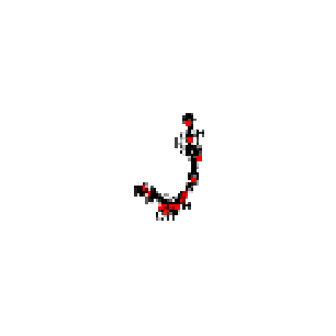 Cc1ncsc1-c1ccc(CNC(=O)[C@@H]2C[C@@H](O)CN2C(=O)[C@@H](NC(=O)COCCOCCN2CCC(C#Cc3ccc4c(c3)N(C)C(=O)[C@@H](NC(=O)C(=O)NCCc3ccccc3)CO4)CC2)C(C)(C)C)cc1